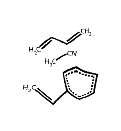 C=CC=C.C=Cc1ccccc1.CC#N